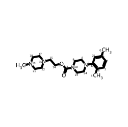 Cc1ccc(C)c(N2CCN(C(=O)OCCN3CCN(C)CC3)CC2)c1